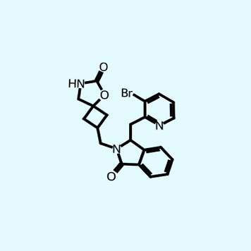 O=C1NCC2(CC(CN3C(=O)c4ccccc4C3Cc3ncccc3Br)C2)O1